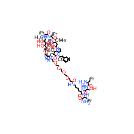 CCC(C)C(C(CC(=O)N1CCCC1C(OC)C(C)C(=O)NC(Cc1ccccc1)C(=O)O)OC)N(C)C(=O)C(NC(=O)C(C(C)C)N(C)CC(O)C(O)C(O)C(O)COCc1cn(CCOCCOCCOCCOCCC(=O)NCCCCC(NC(=O)C(CO)NC(=O)C(N)CC(C)C)C(=O)NC(CC(C)C)C(N)=O)nn1)C(C)C